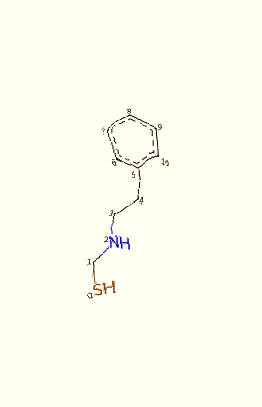 SCNCCc1ccccc1